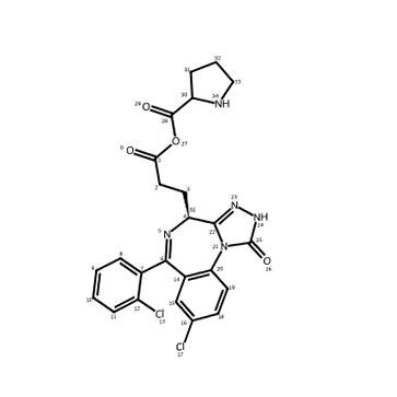 O=C(CC[C@@H]1N=C(c2ccccc2Cl)c2cc(Cl)ccc2-n2c1n[nH]c2=O)OC(=O)C1CCCN1